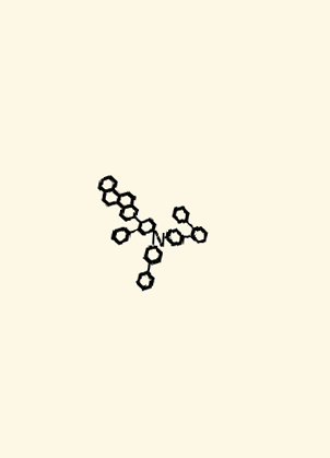 c1ccc(-c2ccc(N(c3ccc(-c4ccccc4-c4ccccc4)cc3)c3ccc(-c4ccc5c(ccc6c7ccccc7ccc56)c4)c(-c4ccccc4)c3)cc2)cc1